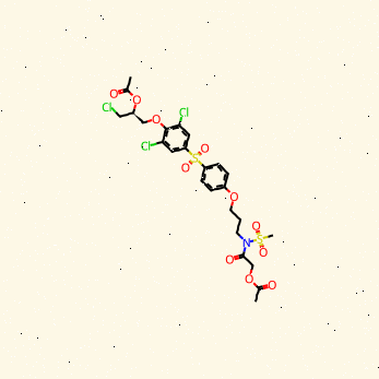 CC(=O)OCC(=O)N(CCCOc1ccc(S(=O)(=O)c2cc(Cl)c(OC[C@@H](CCl)OC(C)=O)c(Cl)c2)cc1)S(C)(=O)=O